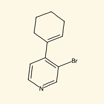 Brc1cnccc1C1=CCCCC1